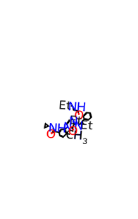 CCNCCOc1ccccc1C(CC)(CC)Nc1nccn(-c2cc(C(=O)NC3CC3)ccc2C)c1=O